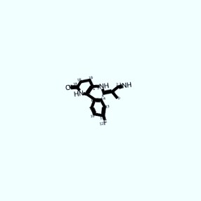 C/C(C=N)=C/NC1=C(c2ccc(F)cc2)NC(=O)CC1